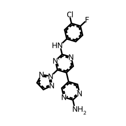 Nc1ncc(-c2cnc(Nc3ccc(F)c(Cl)c3)nc2-n2nccn2)cn1